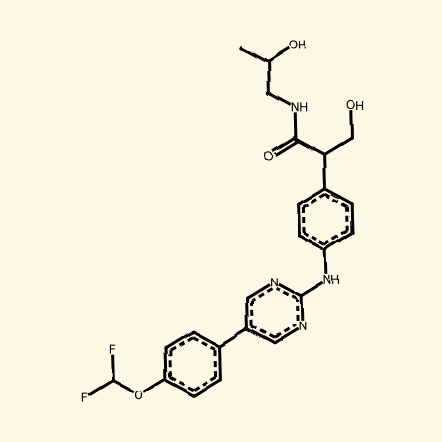 CC(O)CNC(=O)C(CO)c1ccc(Nc2ncc(-c3ccc(OC(F)F)cc3)cn2)cc1